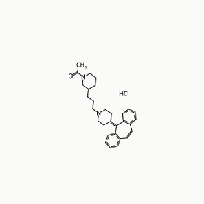 CC(=O)N1CCCC(CCCN2CCC(=C3c4ccccc4C=Cc4ccccc43)CC2)C1.Cl